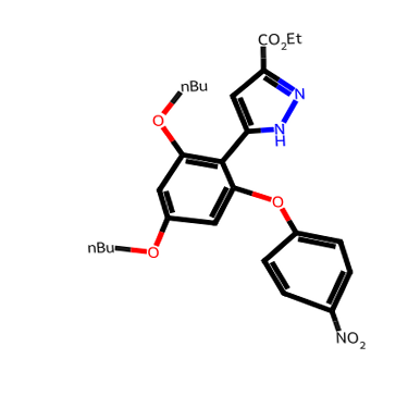 CCCCOc1cc(OCCCC)c(-c2cc(C(=O)OCC)n[nH]2)c(Oc2ccc([N+](=O)[O-])cc2)c1